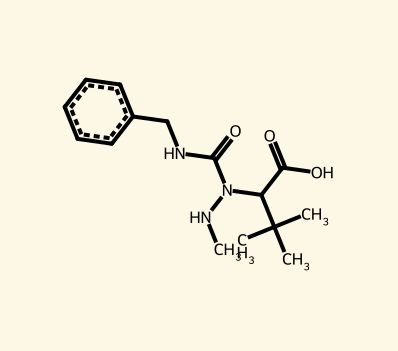 CNN(C(=O)NCc1ccccc1)C(C(=O)O)C(C)(C)C